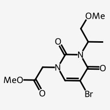 COCC(C)n1c(=O)c(Br)cn(CC(=O)OC)c1=O